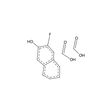 O=CO.O=CO.Oc1cc2ccccc2cc1F